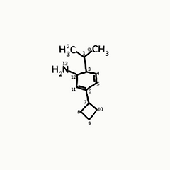 CC(C)C1C=CC(C2CCC2)=CC1N